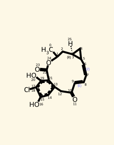 CC1C[C@H]2CC2/C=C\C=C\C(=O)Cc2cc(O)c(Cl)c(O)c2C(=O)O1